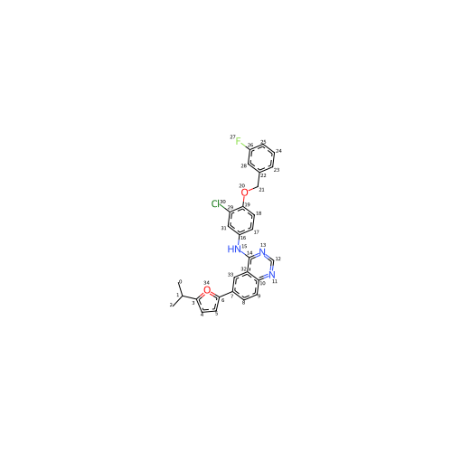 CC(C)c1ccc(-c2ccc3ncnc(Nc4ccc(OCc5cccc(F)c5)c(Cl)c4)c3c2)o1